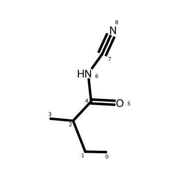 CCC(C)C(=O)NC#N